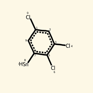 Clc1cc(Cl)c(Cl)[c]([SnH])c1